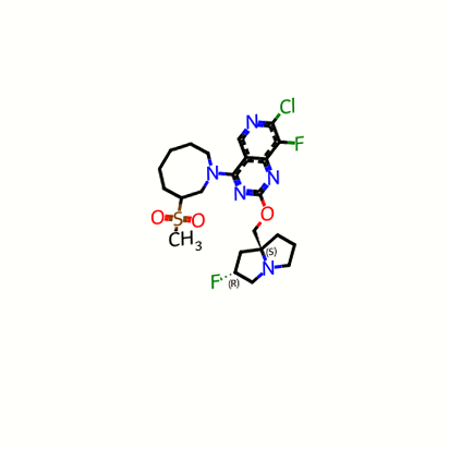 CS(=O)(=O)C1CCCCCN(c2nc(OC[C@@]34CCCN3C[C@H](F)C4)nc3c(F)c(Cl)ncc23)C1